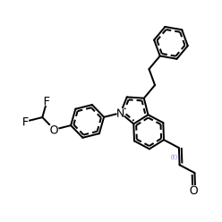 O=C/C=C/c1ccc2c(c1)c(CCc1ccccc1)cn2-c1ccc(OC(F)F)cc1